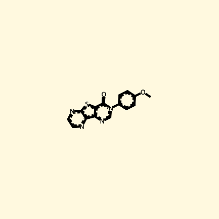 COc1ccc(-n2cnc3c(sc4nccnc43)c2=O)cc1